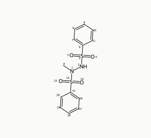 CN(NS(=O)(=O)c1ccccc1)S(=O)(=O)c1ccccc1